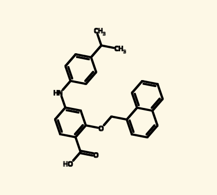 CC(C)c1ccc(Nc2ccc(C(=O)O)c(OCc3cccc4ccccc34)c2)cc1